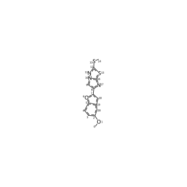 COc1ccc2oc(-c3cn4nc(SC)sc4n3)cc2c1